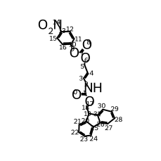 O=C(NC=CCOC(=O)Oc1ccc([N+](=O)[O-])cc1)OCC1c2ccccc2-c2ccccc21